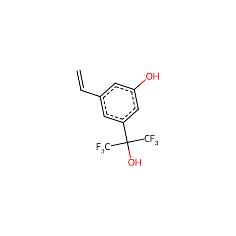 C=Cc1cc(O)cc(C(O)(C(F)(F)F)C(F)(F)F)c1